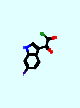 O=C(Cl)C(=O)c1c[nH]c2cc(I)ccc12